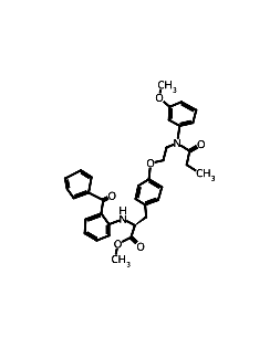 CCC(=O)N(CCOc1ccc(C[C@H](Nc2ccccc2C(=O)c2ccccc2)C(=O)OC)cc1)c1cccc(OC)c1